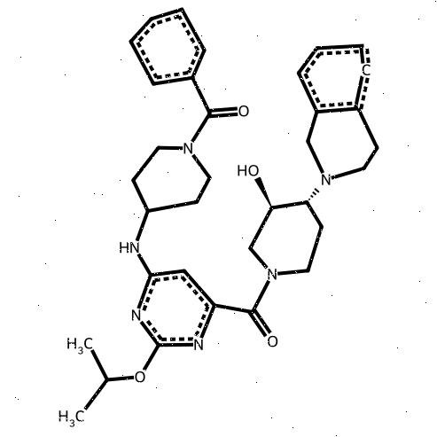 CC(C)Oc1nc(NC2CCN(C(=O)c3ccccc3)CC2)cc(C(=O)N2CC[C@@H](N3CCc4ccccc4C3)[C@H](O)C2)n1